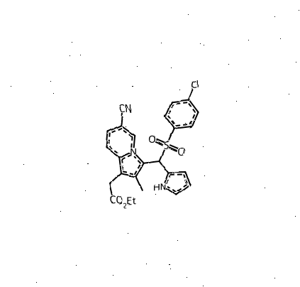 CCOC(=O)Cc1c(C)c(C(c2ccc[nH]2)S(=O)(=O)c2ccc(Cl)cc2)n2cc(C#N)ccc12